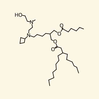 CCCCCCCCC(CCCCCC)CC(=O)OCC(CCCCN(CCN(C)CCO)C1CCC1)COC(=O)CCCCC